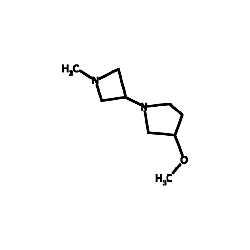 COC1CCN(C2CN(C)C2)C1